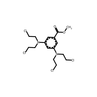 COC(=O)c1cc(N(CCCl)CCCl)cc(N(CCCl)CCCl)c1